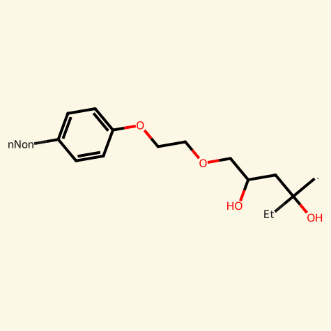 [CH2]C(O)(CC)CC(O)COCCOc1ccc(CCCCCCCCC)cc1